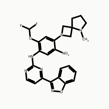 CN1CCCC12CN(c1cc(OC(F)F)c(Nc3nccc(-c4noc5ccccc45)n3)cc1[N+](=O)[O-])C2